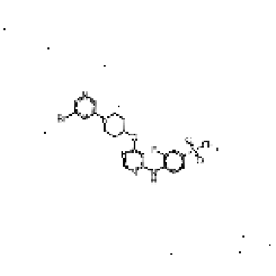 CS(=O)(=O)c1ccc(Nc2cc(OC3CCN(c4cncc(Br)c4)CC3)ncn2)c(F)c1